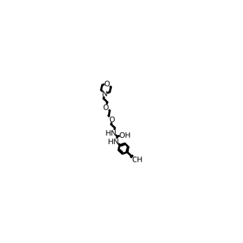 C#Cc1ccc(NC(O)NCCOCCOCCN2CCOCC2)cc1